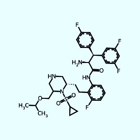 CC(C)OCC1CNC[C@H](CCc2c(F)cccc2NC(=O)[C@@H](N)[C@@H](c2ccc(F)cc2)c2cc(F)cc(F)c2)N1S(=O)(=O)C1CC1